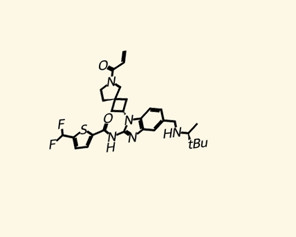 C=CC(=O)N1CC[C@]2(C1)C[C@@H](n1c(NC(=O)c3ccc(C(F)F)s3)nc3cc(CN[C@@H](C)C(C)(C)C)ccc31)C2